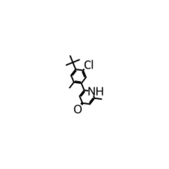 Cc1cc(=O)cc(-c2cc(Cl)c(C(C)(C)C)cc2C)[nH]1